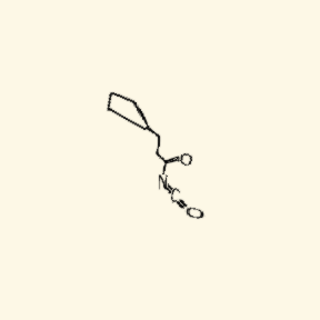 O=C=NC(=O)CCC1CCC1